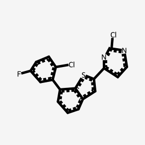 Fc1ccc(Cl)c(-c2cccc3cc(-c4ccnc(Cl)n4)sc23)c1